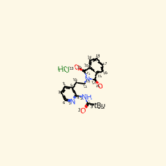 CC(C)(C)C(=O)Nc1ncccc1CCN1C(=O)c2ccccc2C1=O.Cl